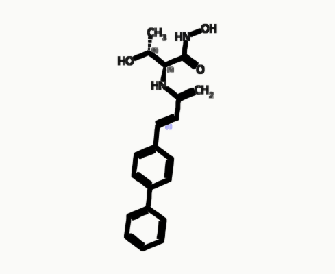 C=C(/C=C/c1ccc(-c2ccccc2)cc1)N[C@H](C(=O)NO)[C@@H](C)O